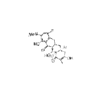 CNc1cc(F)c2c(c1O)C(=O)C1=C(O)[C@]3(O)C(=O)C(C)=C(O)C[C@@H]3CC1C2